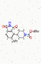 CCCc1ccc2c(c1C1CCN(C(=O)OC(C)(C)C)CC1)C(=O)NC2=O